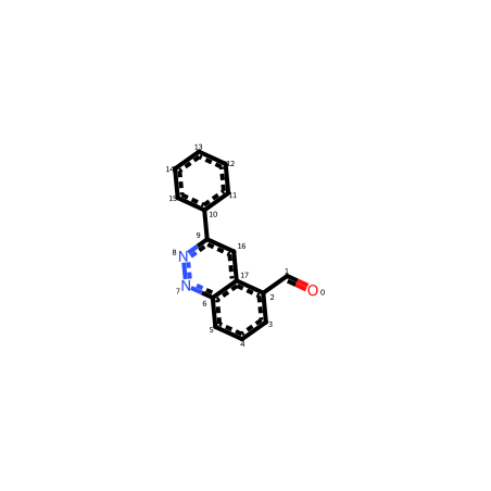 O=Cc1cccc2nnc(-c3ccccc3)cc12